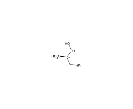 CC(C)C[C@H](PO)C(=O)O